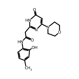 Cc1ccc(NC(=O)Cc2nc(N3CCOCC3)cc(=O)[nH]2)c(O)c1